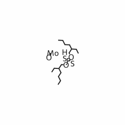 CCCCC(CC)COP(=S)(S)OCC(CC)CCCC.[O]=[Mo]